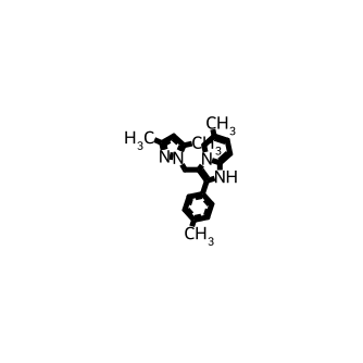 CC1=CC=C2NC(c3ccc(C)cc3)=C(Cn3nc(C)cc3C)N2C1